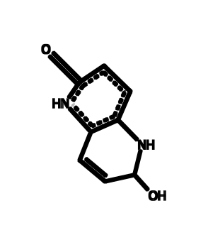 O=c1ccc2c([nH]1)C=CC(O)N2